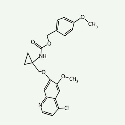 COc1ccc(COC(=O)NC2(COc3cc4nccc(Cl)c4cc3OC)CC2)cc1